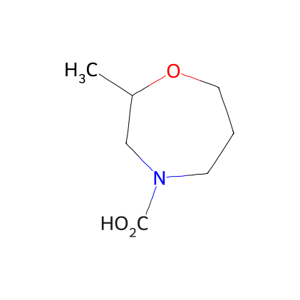 CC1CN(C(=O)O)CCCO1